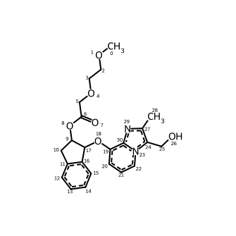 COCCOCC(=O)OC1Cc2ccccc2C1Oc1cccn2c(CO)c(C)nc12